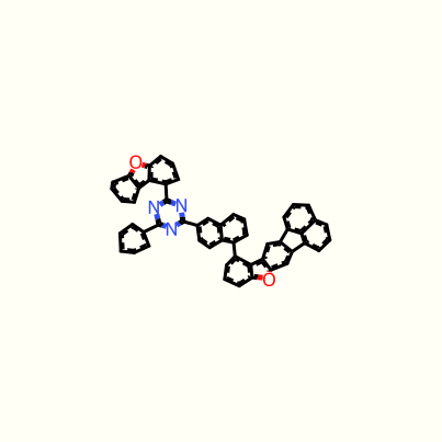 c1ccc(-c2nc(-c3ccc4c(-c5cccc6oc7cc8c(cc7c56)-c5cccc6cccc-8c56)cccc4c3)nc(-c3cccc4oc5ccccc5c34)n2)cc1